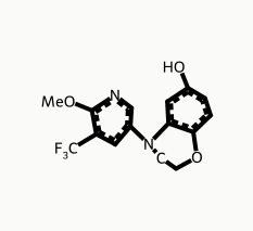 COc1ncc(N2CCOc3ccc(O)cc32)cc1C(F)(F)F